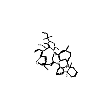 C=C/C1=C(/C=C\CC)O/C=C/C=C2\CN(C3=C4C/C(=C\C/C(C)=C\3)N3c5c(cccc5C5(C)CCCCC35C)B42)C2C(=C(C)C(C(C)(C)CC)CC2C)C1CC